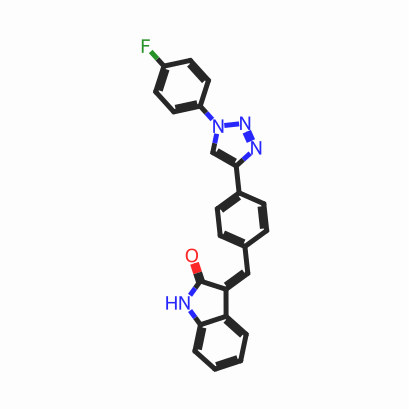 O=C1Nc2ccccc2/C1=C/c1ccc(-c2cn(-c3ccc(F)cc3)nn2)cc1